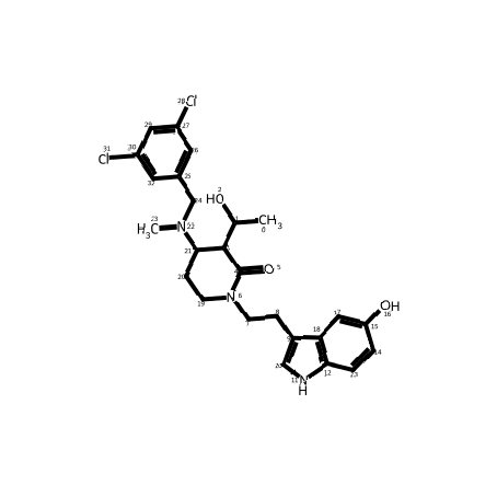 CC(O)C1C(=O)N(CCc2c[nH]c3ccc(O)cc23)CCC1N(C)Cc1cc(Cl)cc(Cl)c1